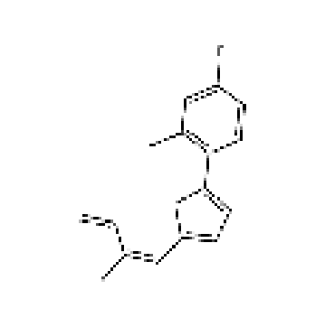 C=CC(C)=CC1=CC=C(c2ccc(F)cc2C)C1